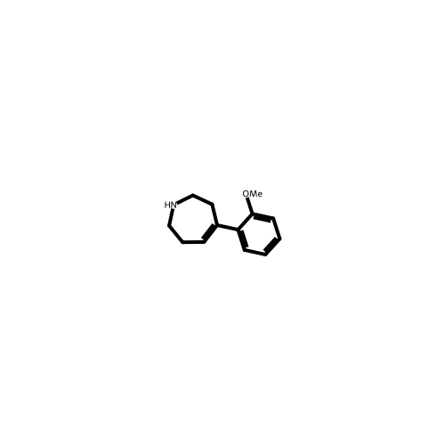 COc1ccccc1C1=CCCNCC1